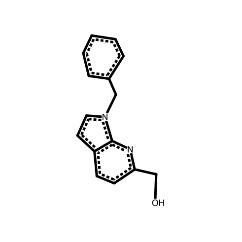 OCc1ccc2ccn(Cc3ccccc3)c2n1